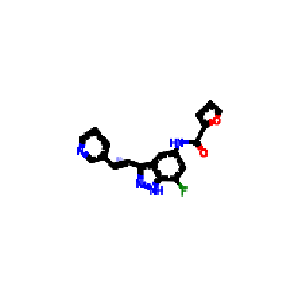 O=C(Nc1cc(F)c2[nH]nc(/C=C/c3cccnc3)c2c1)c1ccco1